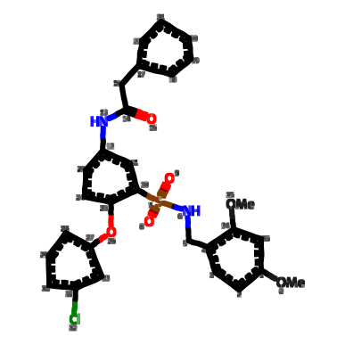 COc1ccc(CNS(=O)(=O)c2cc(NC(=O)Cc3ccccc3)ccc2Oc2cccc(Cl)c2)c(OC)c1